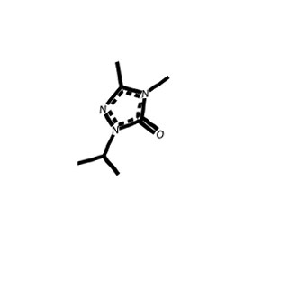 Cc1nn(C(C)C)c(=O)n1C